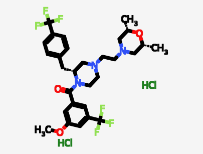 COc1cc(C(=O)N2CCN(CCN3C[C@@H](C)O[C@@H](C)C3)C[C@H]2Cc2ccc(C(F)(F)F)cc2)cc(C(F)(F)F)c1.Cl.Cl